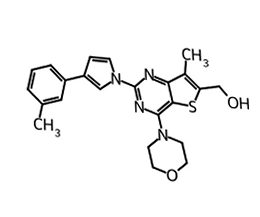 Cc1cccc(-c2ccn(-c3nc(N4CCOCC4)c4sc(CO)c(C)c4n3)c2)c1